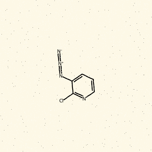 [N-]=[N+]=Nc1cccnc1Cl